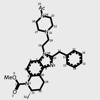 COC(=O)N1c2ccc3c(nc(Cc4ccccc4)n3CCN3CCN(C(C)=O)CC3)c2CC[C@@H]1C